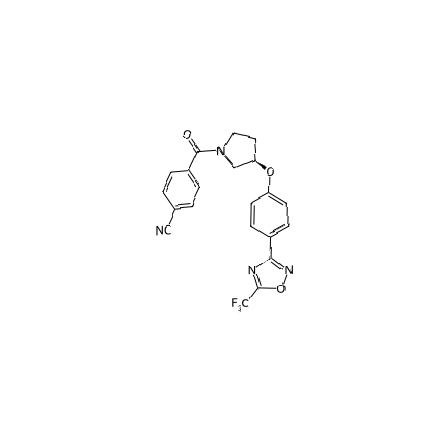 N#Cc1ccc(C(=O)N2CC[C@@H](Oc3ccc(-c4noc(C(F)(F)F)n4)cc3)C2)cc1